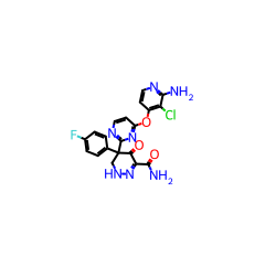 NC(=O)C1=NNCC(c2ccc(F)cc2)(c2nccc(Oc3ccnc(N)c3Cl)n2)C1=O